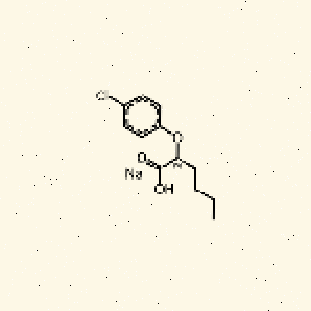 CCCC[C@H](Oc1ccc(Cl)cc1)C(=O)O.[Na]